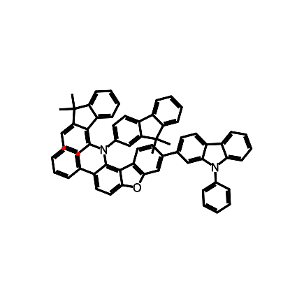 CC1(C)c2ccccc2-c2ccc(N(c3cccc4c3-c3ccccc3C4(C)C)c3c(-c4ccccc4)ccc4oc5cc(-c6ccc7c8ccccc8n(-c8ccccc8)c7c6)ccc5c34)cc21